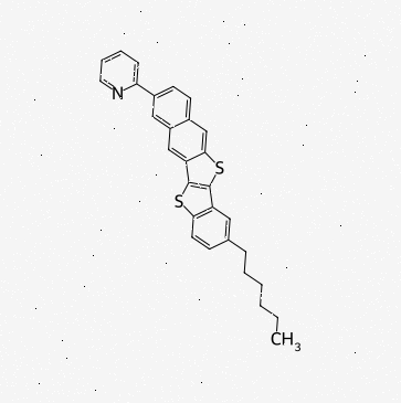 CCCCCCc1ccc2sc3c4cc5cc(-c6ccccn6)ccc5cc4sc3c2c1